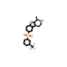 CC1NCCc2c1oc1ccc(S(=O)(=O)c3cccc(C(F)(F)F)c3)cc21